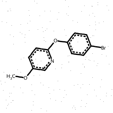 COc1ccc(Oc2ccc(Br)cc2)nc1